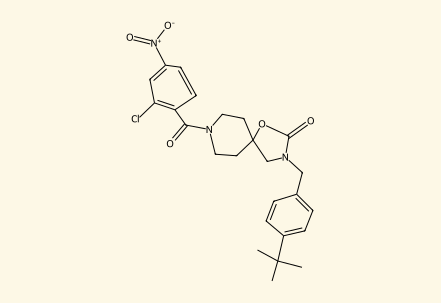 CC(C)(C)c1ccc(CN2CC3(CCN(C(=O)c4ccc([N+](=O)[O-])cc4Cl)CC3)OC2=O)cc1